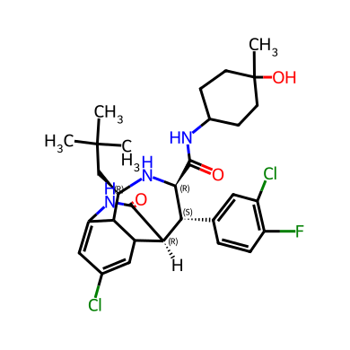 CC(C)(C)C[C@H]1N[C@@H](C(=O)NC2CCC(C)(O)CC2)[C@H](c2ccc(F)c(Cl)c2)[C@@H]2C(=O)NC3=CC(Cl)=CC2C31